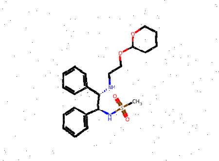 CS(=O)(=O)N[C@@H](c1ccccc1)[C@@H](NCCOC1CCCCO1)c1ccccc1